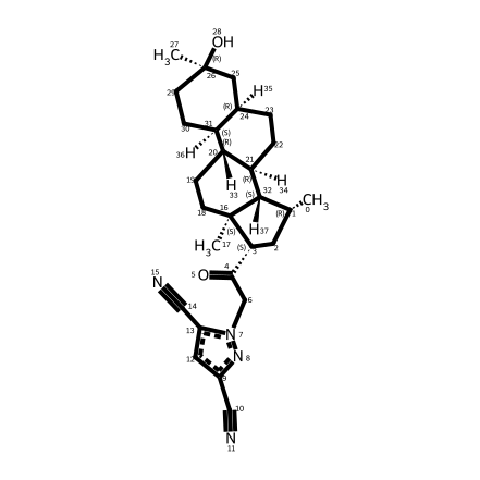 C[C@@H]1C[C@H](C(=O)Cn2nc(C#N)cc2C#N)[C@@]2(C)CC[C@H]3[C@@H](CC[C@@H]4C[C@](C)(O)CC[C@@H]43)[C@H]12